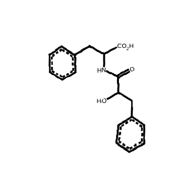 O=C(NC(Cc1ccccc1)C(=O)O)C(O)Cc1ccccc1